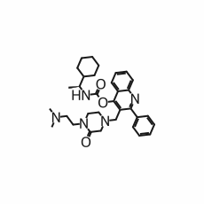 C[C@H](NC(=O)Oc1c(CN2CCN(CCN(C)C)C(=O)C2)c(-c2ccccc2)nc2ccccc12)C1CCCCC1